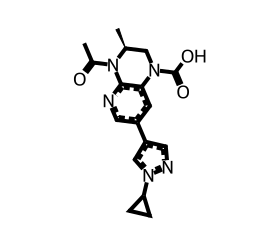 CC(=O)N1c2ncc(-c3cnn(C4CC4)c3)cc2N(C(=O)O)C[C@@H]1C